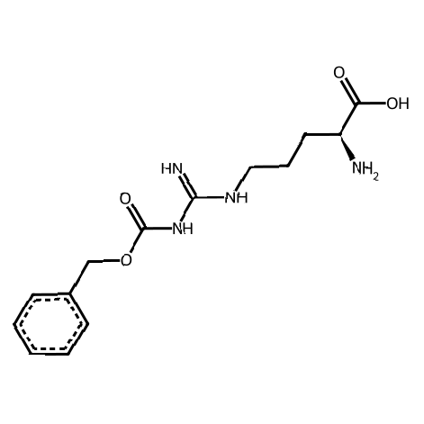 N=C(NCCC[C@H](N)C(=O)O)NC(=O)OCc1ccccc1